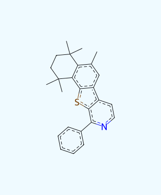 Cc1cc2c(sc3c(-c4ccccc4)nccc32)c2c1C(C)(C)CCC2(C)C